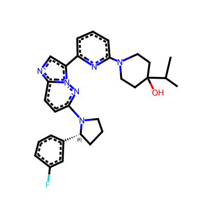 CC(C)C1(O)CCN(c2cccc(-c3cnc4ccc(N5CCC[C@@H]5c5cccc(F)c5)nn34)n2)CC1